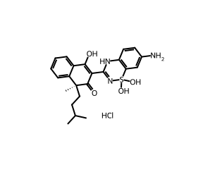 CC(C)CC[C@]1(C)C(=O)C(C2=NS(O)(O)c3cc(N)ccc3N2)=C(O)c2ccccc21.Cl